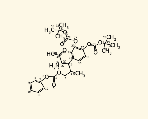 CC(COC(=O)Oc1ccccc1)C(c1ccc(OC(=O)OC(C)(C)C)c(OC(=O)OC(C)(C)C)c1)[C@H](N)C(=O)O